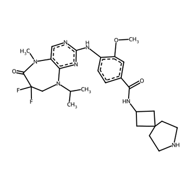 COc1cc(C(=O)NC2CC3(CCNCC3)C2)ccc1Nc1ncc2c(n1)N(C(C)C)CC(F)(F)C(=O)N2C